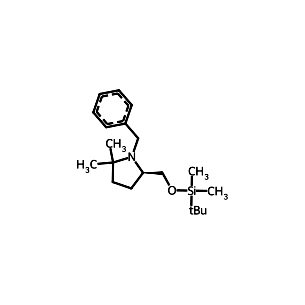 CC1(C)CC[C@H](CO[Si](C)(C)C(C)(C)C)N1Cc1ccccc1